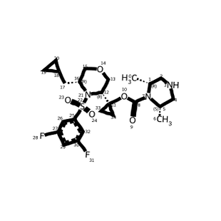 C[C@@H]1CNC[C@H](C)N1C(=O)OC1([C@H]2COC[C@@H](CC3CC3)N2S(=O)(=O)c2cc(F)cc(F)c2)CC1